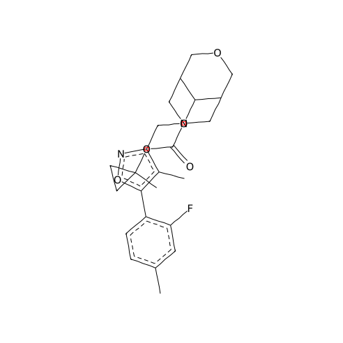 Cc1ccc(-c2onc(COC3C4COCC3CN(C(=O)OC3(C)CC3)C4)c2C)c(F)c1